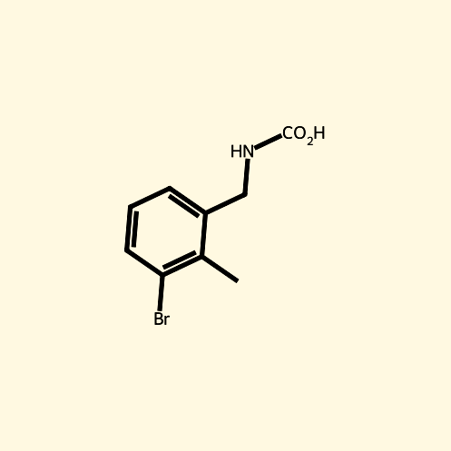 Cc1c(Br)cccc1CNC(=O)O